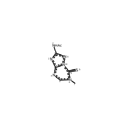 CC(=O)Nc1nc2ncn(C)c(=S)n2n1